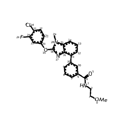 COCCNC(=O)c1cccc(-c2cccc3c2nc(Oc2ccc(Cl)c(F)c2)n3C)c1